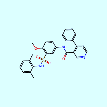 COc1ccc(NC(=O)c2cnccc2-c2ccccc2)cc1S(=O)(=O)Nc1c(C)cccc1C